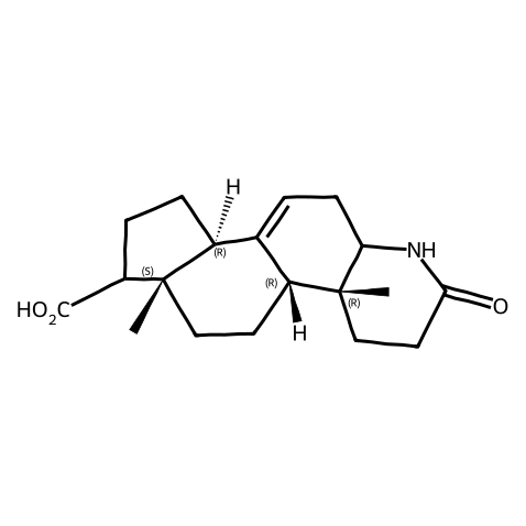 C[C@]12CCC(=O)NC1CC=C1[C@H]2CC[C@]2(C)C(C(=O)O)CC[C@@H]12